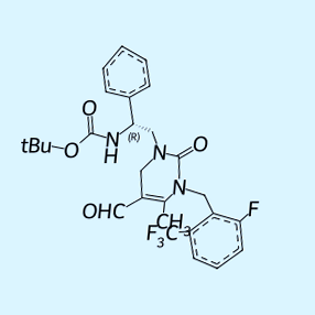 CC1=C(C=O)CN(C[C@H](NC(=O)OC(C)(C)C)c2ccccc2)C(=O)N1Cc1c(F)cccc1C(F)(F)F